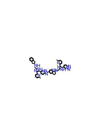 Cc1cccc(-c2nc(CNC3Cc4ccccc4C3)[nH]c2-c2ccc3nc(-c4ccc5c(c4)CCC5NCc4nc(-c5cccc(C)n5)c(-c5ccc6ncnn6c5)[nH]4)nn3c2)n1